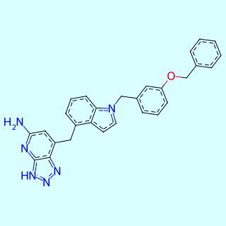 Nc1cc(Cc2cccc3c2ccn3Cc2cccc(OCc3ccccc3)c2)c2nn[nH]c2n1